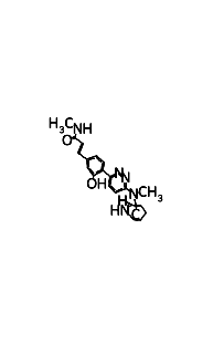 CNC(=O)/C=C/c1ccc(-c2ccc(N(C)[C@H]3CC4CCC3CN4)nn2)c(O)c1